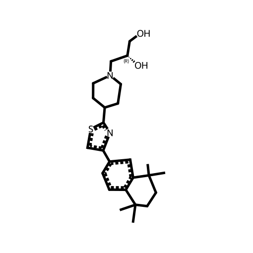 CC1(C)CCC(C)(C)c2cc(-c3csc(C4CCN(C[C@@H](O)CO)CC4)n3)ccc21